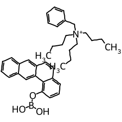 CCCC[N+](CCCC)(CCCC)Cc1ccccc1.OB(O)Oc1cccc2ccc3cc4ccccc4cc3c12